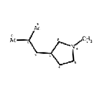 CC(=O)C(CC1CCN(C)C1)C(C)=O